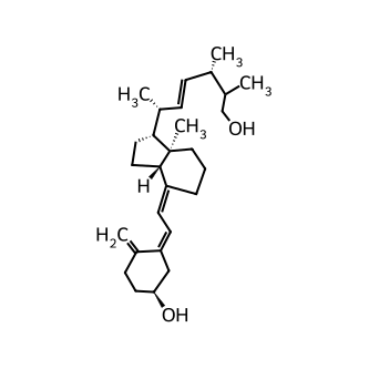 C=C1CC[C@H](O)C/C1=C/C=C1\CCC[C@]2(C)[C@@H]([C@H](C)/C=C/[C@H](C)C(C)CO)CC[C@@H]12